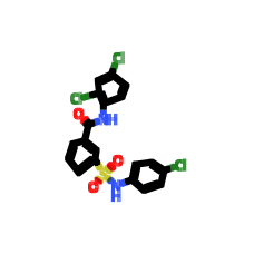 O=C(Nc1ccc(Cl)cc1Cl)c1cccc(S(=O)(=O)Nc2ccc(Cl)cc2)c1